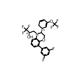 O[C@H](CN1c2cccc(-c3cc(F)cc(F)c3)c2OCC1[C@@H]1C=C(OC(F)(F)F)C=CC1)C(F)(F)F